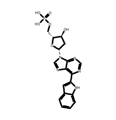 O=P(O)(O)OC[C@H]1O[C@@H](n2cnc3c(-c4cc5ccccc5[nH]4)ncnc32)C[C@@H]1O